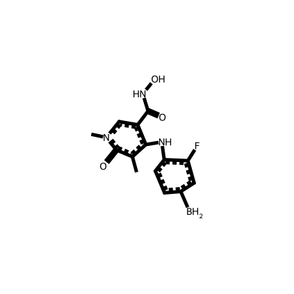 Bc1ccc(Nc2c(C(=O)NO)cn(C)c(=O)c2C)c(F)c1